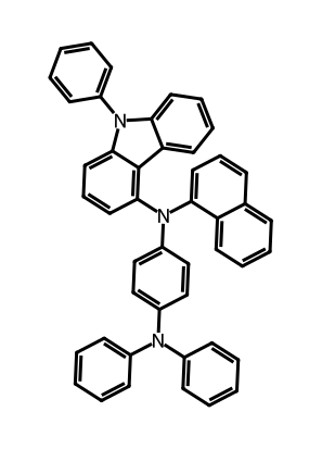 c1ccc(N(c2ccccc2)c2ccc(N(c3cccc4ccccc34)c3cccc4c3c3ccccc3n4-c3ccccc3)cc2)cc1